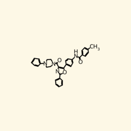 Cc1ccc(C(=O)Nc2ccc(-c3oc(-c4ccccc4)nc3C(=O)N3CCN(c4ccccc4)CC3)cc2)cc1